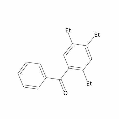 CCc1cc(CC)c(C(=O)c2ccccc2)cc1CC